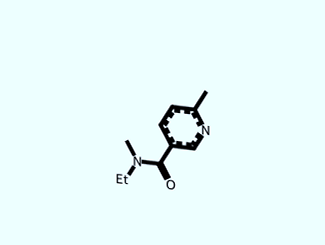 CCN(C)C(=O)c1ccc(C)nc1